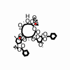 CC[C@H]1OC(=O)[C@H](C)[C@@H](OC2C[C@@](C)(OC)[C@@H](OC(=O)c3ccccc3)[C@H](C)O2)[C@H](C)[C@@H](OC2O[C@H](C)C[C@H](N(C)C)[C@H]2OC(=O)c2ccccc2)[C@@](C)(OC)C[C@@H](C)C(=O)[C@H](C)[C@@H](O)[C@H]1OS(C)(=O)=O